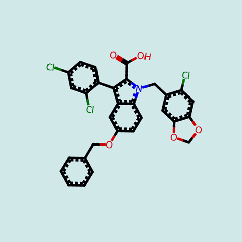 O=C(O)c1c(-c2ccc(Cl)cc2Cl)c2cc(OCc3ccccc3)ccc2n1Cc1cc2c(cc1Cl)OCO2